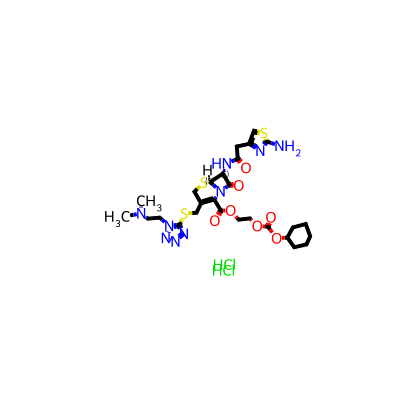 CN(C)CCn1nnnc1SCC1=C(C(=O)OCCOC(=O)OC2CCCCC2)N2C(=O)[C@H](NC(=O)Cc3csc(N)n3)[C@@H]2SC1.Cl.Cl